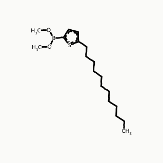 CCCCCCCCCCCCc1ccc(B(OC)OC)s1